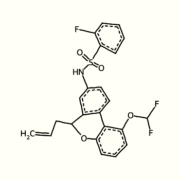 C=CCC1Oc2cccc(OC(F)F)c2-c2ccc(NS(=O)(=O)c3ccccc3F)cc21